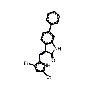 CCc1cc(CC)c(/C=C2\C(=O)Nc3cc(-c4ccccc4)ccc32)[nH]1